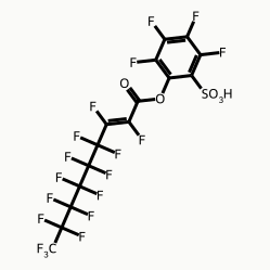 O=C(Oc1c(F)c(F)c(F)c(F)c1S(=O)(=O)O)C(F)=C(F)C(F)(F)C(F)(F)C(F)(F)C(F)(F)C(F)(F)C(F)(F)F